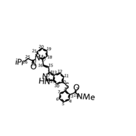 CNC(=O)c1ccccc1Sc1ccc2c(/C=C/c3cccc[n+]3C(=O)CC(C)C)n[nH]c2c1